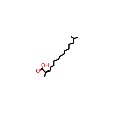 CC(=CCCCCCCCCCCC(C)C)C(=O)O